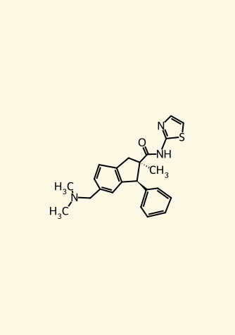 CN(C)Cc1ccc2c(c1)[C@H](c1ccccc1)[C@](C)(C(=O)Nc1nccs1)C2